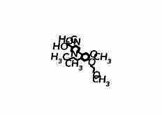 C/N=c1/cc2n(cc1C(=O)O)C(C(C)C)Cc1cc(OCCCOC)c(OC)cc1-2